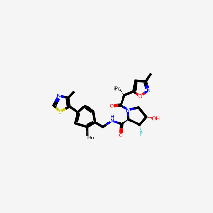 Cc1cc([C@H](C(=O)N2C[C@H](O)[C@H](F)[C@H]2C(=O)NCc2ccc(-c3scnc3C)cc2C(C)(C)C)C(C)C)on1